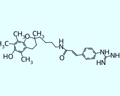 Cc1c(C)c2c(c(C)c1O)CCC(C)(CCCCNC(=O)/C=C/c1ccc(NC(=N)N)cc1)O2